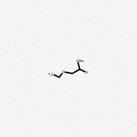 CCC(COCC(F)(F)F)OC